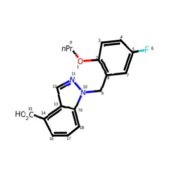 CCCOc1ccc(F)cc1Cn1ncc2c(C(=O)O)cccc21